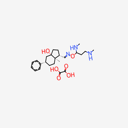 CNCCC(NC)ON=C[C@H]1CC[C@]2(O)C[C@@H](c3ccccc3)CC[C@]12C.O=C(O)C(=O)O